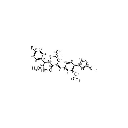 COc1cc(/C=C2\OC(C)CN([C@H](c3ccc(F)cc3)[C@@H](C)O)C2=O)ccc1-n1cnc(C)n1